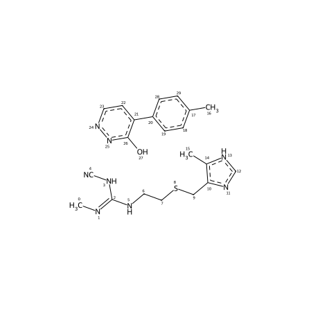 C/N=C(\NC#N)NCCSCc1nc[nH]c1C.Cc1ccc(-c2ccnnc2O)cc1